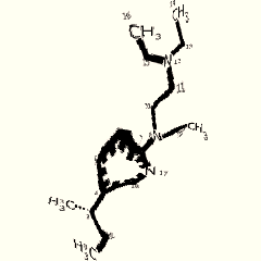 CC[C@H](C)c1ccc(N(C)CCN(CC)CC)nc1